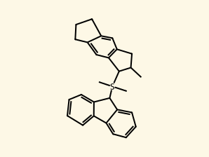 CC1Cc2cc3c(cc2C1S(C)(C)C1c2ccccc2-c2ccccc21)CCC3